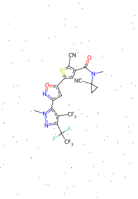 CN(C(=O)c1cc(-c2cc(-c3c(C(F)(F)F)c(C(F)(F)C(F)(F)F)nn3C)no2)sc1C#N)C1(C#N)CC1